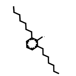 [CH2]c1c(CCCCCCC)cccc1CCCCCCC